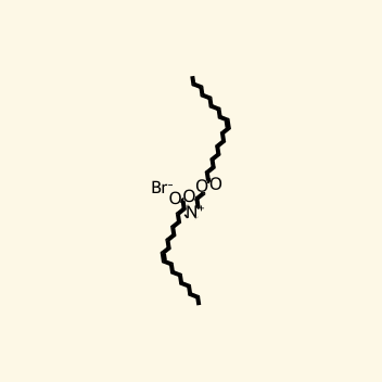 CCCCCCCC/C=C\CCCCCCCC(=O)OCC(C[N+](C)(C)C)OC(=O)CCCCCCC/C=C\CCCCCCCC.[Br-]